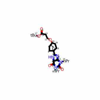 CCCn1c(=O)c2[nH]c(C34CCC(OCCC(=O)OC(C)(C)C)(CC3)CC4)nc2n(CCC)c1=O